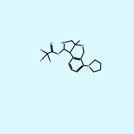 CC12CNC(OC(=O)C(F)(F)F)C1c1cccc(N3CCCC3)c1CO2